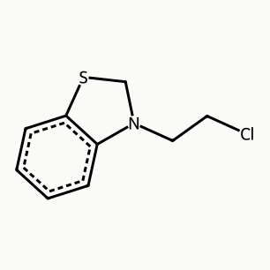 ClCCN1CSc2ccccc21